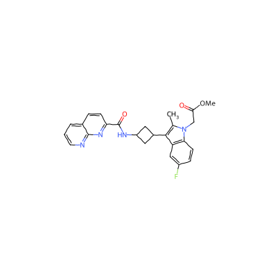 COC(=O)Cn1c(C)c(C2CC(NC(=O)c3ccc4cccnc4n3)C2)c2cc(F)ccc21